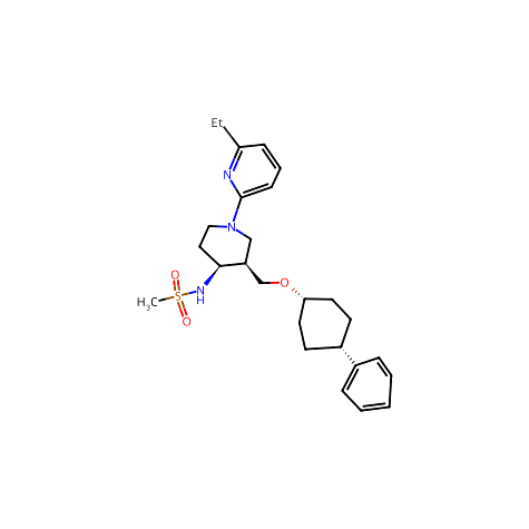 CCc1cccc(N2CC[C@H](NS(C)(=O)=O)[C@H](CO[C@H]3CC[C@@H](c4ccccc4)CC3)C2)n1